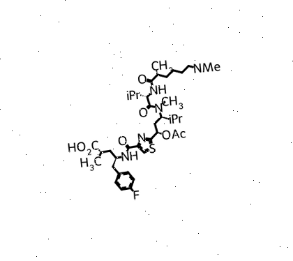 CNCCCC[C@@H](C)C(=O)N[C@H](C(=O)N(C)[C@H](C[C@@H](OC(C)=O)c1nc(C(=O)N[C@@H](Cc2ccc(F)cc2)C[C@H](C)C(=O)O)cs1)C(C)C)C(C)C